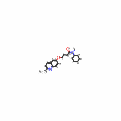 CC(=O)Oc1ccc2cc(OCCCC(=O)N(C)C3CCCCC3)ccc2n1